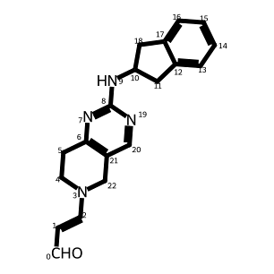 O=CC=CN1CCc2nc(NC3Cc4ccccc4C3)ncc2C1